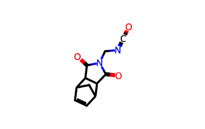 O=C=NCN1C(=O)C2C3C=CC(C3)C2C1=O